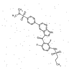 CCCS(=O)(=O)Nc1ccc(F)c(C(=O)c2c[nH]c3ncc(-c4ccc(S(=O)(=O)N(C)C)cc4)cc23)c1F